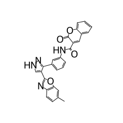 Cc1ccc2nc(-c3c[nH]nc3-c3cccc(NC(=O)c4cc5ccccc5oc4=O)c3)oc2c1